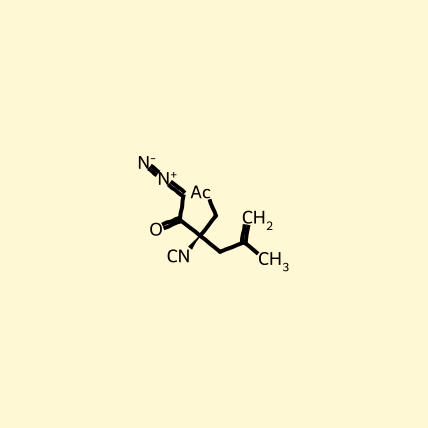 [C-]#[N+][C@](CC(=C)C)(CC(C)=O)C(=O)C=[N+]=[N-]